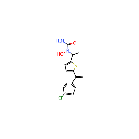 C=C(c1ccc(Cl)cc1)c1ccc(C(C)N(O)C(N)=O)s1